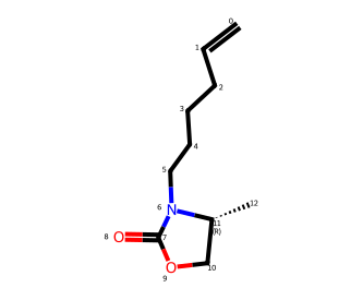 C=CCCCCN1C(=O)OC[C@H]1C